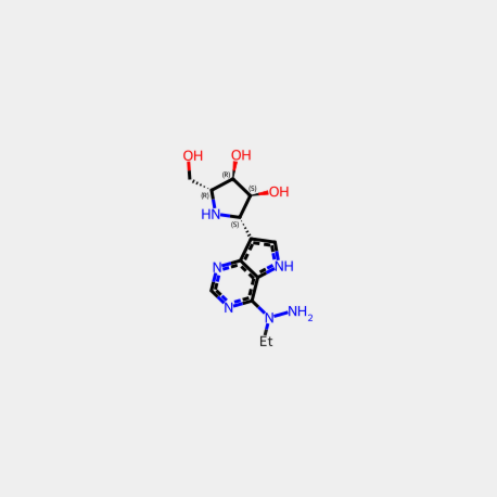 CCN(N)c1ncnc2c([C@@H]3N[C@H](CO)[C@@H](O)[C@H]3O)c[nH]c12